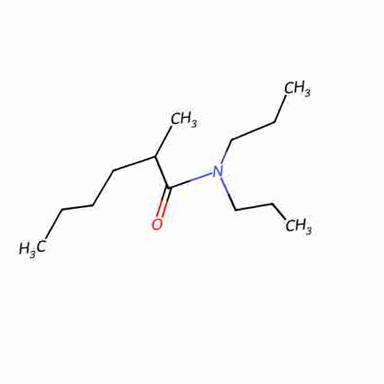 CCCCC(C)C(=O)N(CCC)CCC